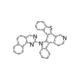 c1ccc2c(c1)ccc1cnc(-n3c4ccccc4c4c5ccncc5c5sc6ccccc6c5c43)nc12